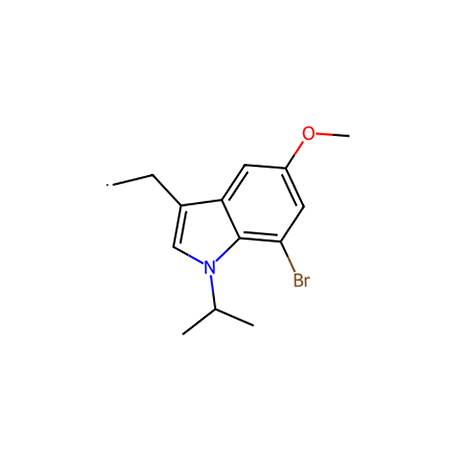 [CH2]Cc1cn(C(C)C)c2c(Br)cc(OC)cc12